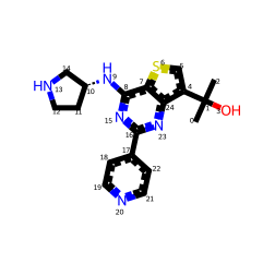 CC(C)(O)c1csc2c(N[C@@H]3CCNC3)nc(-c3ccncc3)nc12